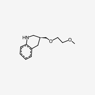 COCCOC[C@@H]1CNc2ccccc2C1